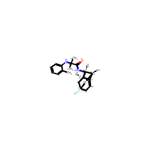 Cc1ccccc1NC(C)(C)C(=O)N[C@@H]1[C@@H]2C[C@]3(F)CC=C2[C@@H]1C3